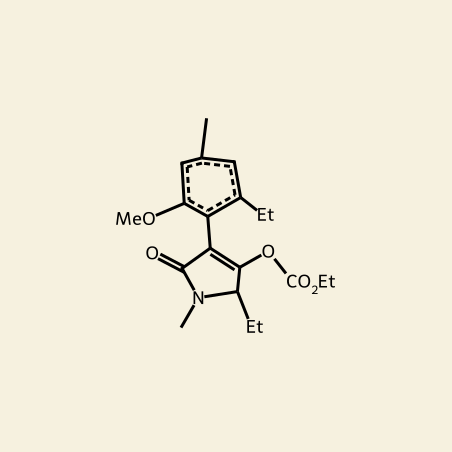 CCOC(=O)OC1=C(c2c(CC)cc(C)cc2OC)C(=O)N(C)C1CC